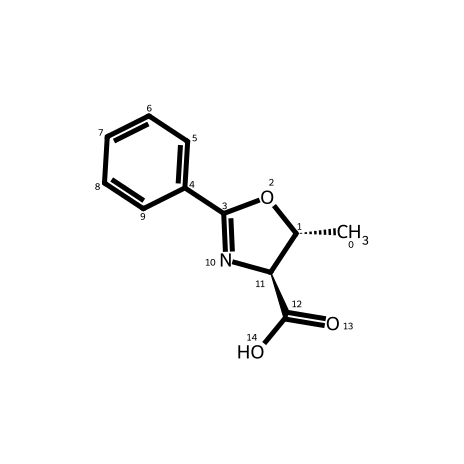 C[C@H]1OC(c2ccccc2)=N[C@@H]1C(=O)O